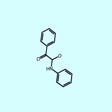 [O]C(Nc1ccccc1)C(=O)c1ccccc1